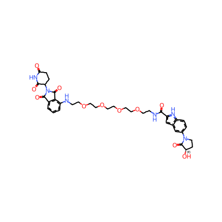 O=C1CCC(N2C(=O)c3cccc(NCCOCCOCCOCCOCCNC(=O)c4cc5cc(N6CC[C@@H](O)C6=O)ccc5[nH]4)c3C2=O)C(=O)N1